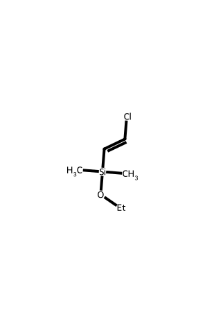 CCO[Si](C)(C)/C=C/Cl